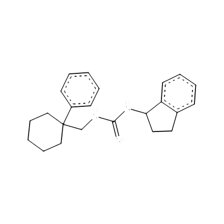 N=C(NCC1(c2ccccc2)CCCCC1)NC1CCc2ccccc21